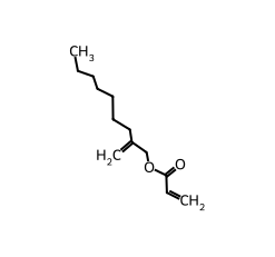 C=CC(=O)OCC(=C)CCCCCCC